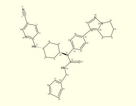 N#Cc1ccc(N[C@H]2CC[C@H](N(C(=O)NCc3ccccc3)c3ccc(-c4cnn5c4CCCC5)cc3)CC2)nc1